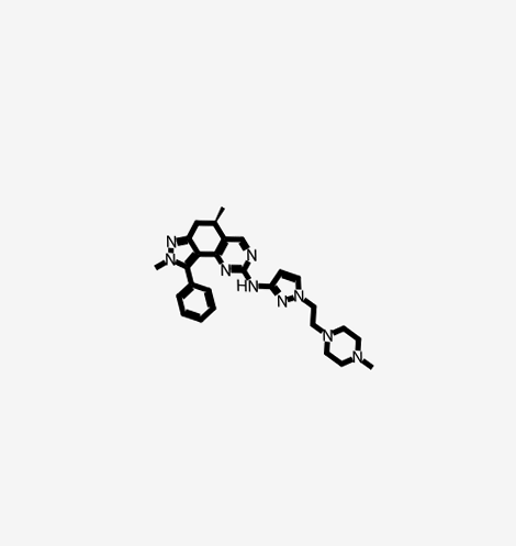 C[C@@H]1Cc2nn(C)c(-c3ccccc3)c2-c2nc(Nc3ccn(CCN4CCN(C)CC4)n3)ncc21